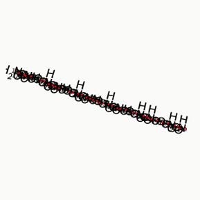 CCNC(=O)COCC(=O)NCCOCCOCCOCCNC(=O)COCC(=O)NCCOCCOCCOCCNC(=O)COCC(=O)NCCOCCOCCOCCNC(=O)COCC(=O)NCCOCCOCCOCCNC(=O)COCC(=O)NCCOCCOCCOCCNC(=O)COCC(N)=O